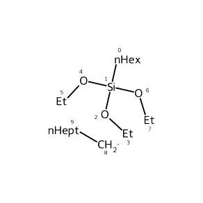 CCCCCC[Si](OCC)(OCC)OCC.[CH2]CCCCCCC